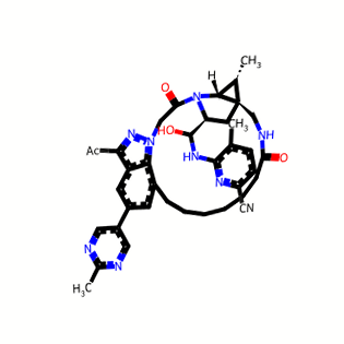 CC(=O)c1nn2c3c(cc(-c4cnc(C)nc4)cc13)CCCCCCC(=O)NC[C@@]13C[C@@H](C(O)Nc4nc(C#N)ccc4C)N(C(=O)C2)[C@@H]1[C@@H]3C